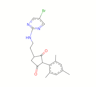 Cc1cc(C)c(C2C(=O)CC(CCNc3ncc(Br)cn3)C2=O)c(C)c1